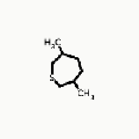 CC1CCC(C)CSC1